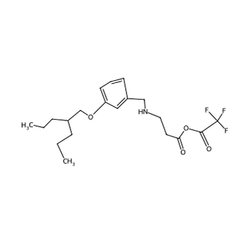 CCCC(CCC)COc1cccc(CNCCC(=O)OC(=O)C(F)(F)F)c1